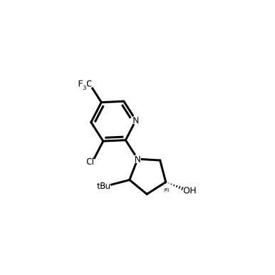 CC(C)(C)C1C[C@@H](O)CN1c1ncc(C(F)(F)F)cc1Cl